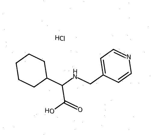 Cl.O=C(O)C(NCc1ccncc1)C1CCCCC1